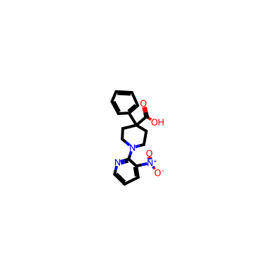 O=C(O)C1(c2ccccc2)CCN(c2ncccc2[N+](=O)[O-])CC1